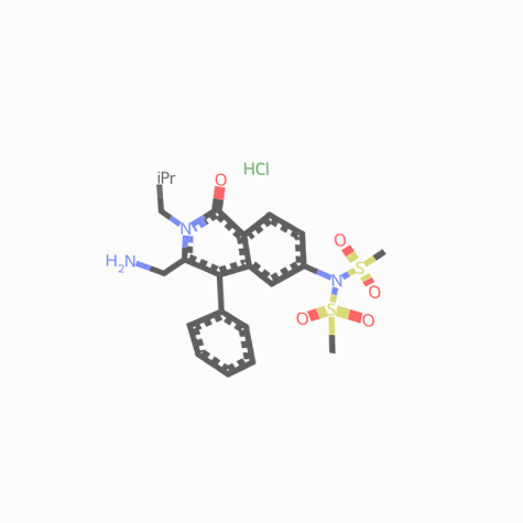 CC(C)Cn1c(CN)c(-c2ccccc2)c2cc(N(S(C)(=O)=O)S(C)(=O)=O)ccc2c1=O.Cl